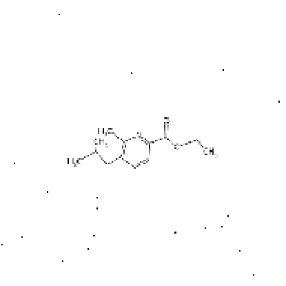 CCOC(=O)c1ccc(CC(C)C)c(C)n1